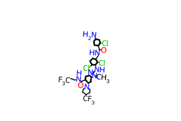 Cn1c(Nc2c(Cl)ccc(CNC(=O)c3ccc(N)cc3Cl)c2Cl)nc2cc(C(=O)NCCC(F)(F)F)c(N3CCC(C(F)(F)F)CC3)cc21